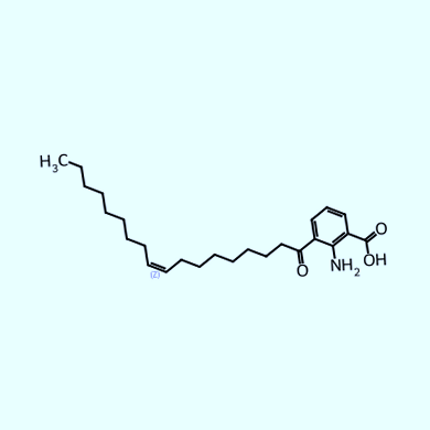 CCCCCCCC/C=C\CCCCCCCC(=O)c1cccc(C(=O)O)c1N